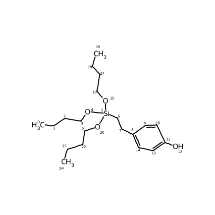 CCCCO[Si](CCc1ccc(O)cc1)(OCCCC)OCCCC